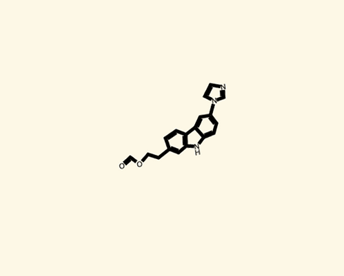 O=COCCc1ccc2c(c1)[nH]c1ccc(-n3ccnc3)cc12